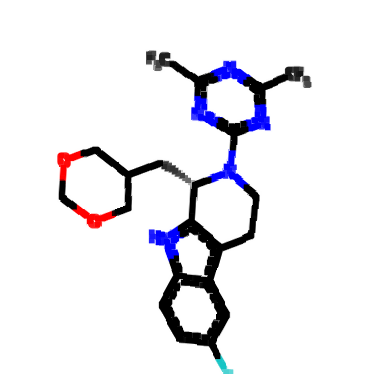 Fc1ccc2[nH]c3c(c2c1)CCN(c1nc(C(F)(F)F)nc(C(F)(F)F)n1)[C@H]3CC1COCOC1